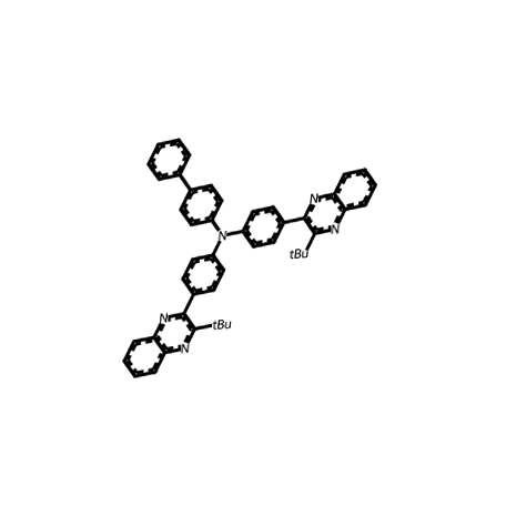 CC(C)(C)c1nc2ccccc2nc1-c1ccc(N(c2ccc(-c3ccccc3)cc2)c2ccc(-c3nc4ccccc4nc3C(C)(C)C)cc2)cc1